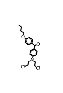 CCCCOc1ccc(C(=O)c2ccc(N(CCCl)CCCl)cc2)cc1